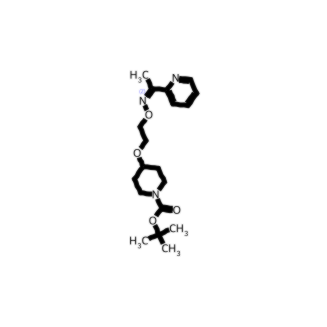 C/C(=N/OCCOC1CCN(C(=O)OC(C)(C)C)CC1)c1ccccn1